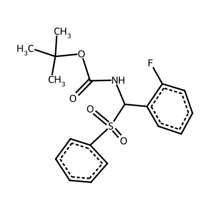 CC(C)(C)OC(=O)NC(c1ccccc1F)S(=O)(=O)c1ccccc1